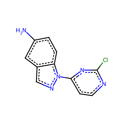 Nc1ccc2c(cnn2-c2ccnc(Cl)n2)c1